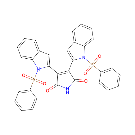 O=C1NC(=O)C(c2cc3ccccc3n2S(=O)(=O)c2ccccc2)=C1c1cc2ccccc2n1S(=O)(=O)c1ccccc1